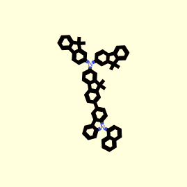 CC1(C)c2ccccc2-c2ccc(N(C3=CC4C(C=C3)c3ccccc3C4(C)C)c3ccc4c(c3)C(C)(C)c3cc(-c5ccc6c(c5)c5ccccc5n6-c5cccc6ccccc56)ccc3-4)cc21